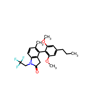 CCCc1cc(OC)c(-c2c(C)ccc3c2CC(=O)N3CC(F)(F)F)c(OC)c1